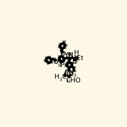 CCNC(=O)c1noc(-c2cc(C(C)C)c(OCc3ccccc3)cc2OCc2ccccc2)c1-c1ccc2c(c1)CCN(CC(C=O)N(C)C)C2